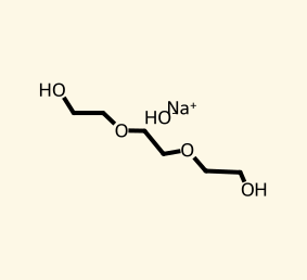 OCCOCCOCCO.[Na+].[OH-]